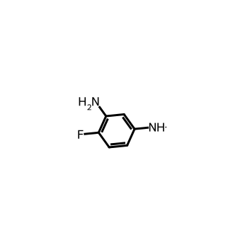 [NH]c1ccc(F)c(N)c1